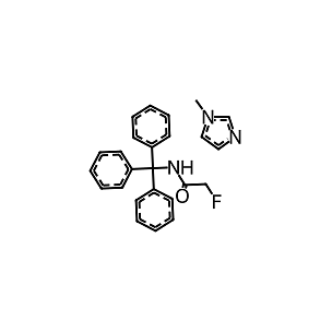 Cn1ccnc1.O=C(CF)NC(c1ccccc1)(c1ccccc1)c1ccccc1